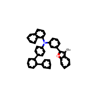 CC(C)(C)c1c(-c2cccc(N(c3ccc(-c4ccccc4-c4ccccc4)cc3)c3cccc4ccccc34)c2)oc2ccccc12